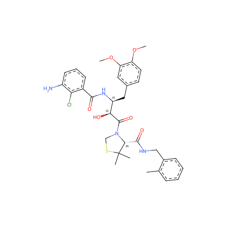 COc1ccc(C[C@H](NC(=O)c2cccc(N)c2Cl)[C@H](O)C(=O)N2CSC(C)(C)[C@H]2C(=O)NCc2ccccc2C)cc1OC